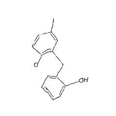 Oc1ccccc1Cc1cc(I)ccc1Cl